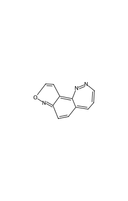 C1=CN=Nc2c3c(ccc2=C1)=NOC=C3